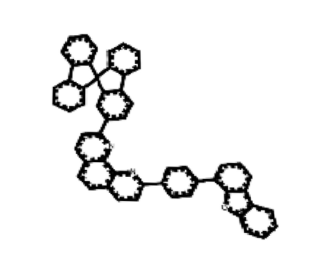 c1ccc2c(c1)-c1ccccc1C21c2ccccc2-c2ccc(-c3ccc4ccc5ccc(-c6ccc(-c7cccc8c7oc7ccccc78)cc6)nc5c4n3)cc21